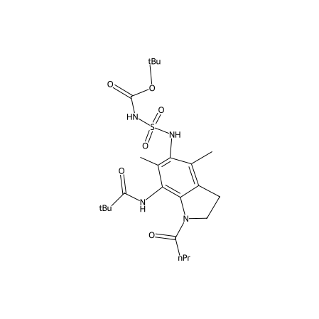 CCCC(=O)N1CCc2c(C)c(NS(=O)(=O)NC(=O)OC(C)(C)C)c(C)c(NC(=O)C(C)(C)C)c21